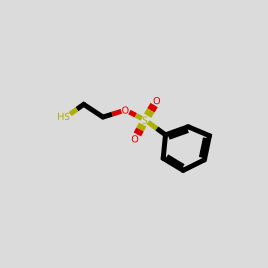 O=S(=O)(OCCS)c1ccccc1